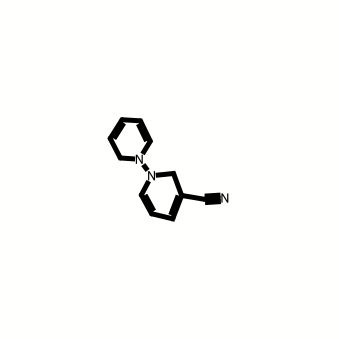 N#CC1=CC=CN(N2C=CC=CC2)C1